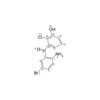 Nc1ccc(Br)cc1C(=O)c1cccc(O)c1Cl